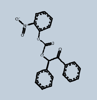 O=C(Oc1ccccc1[N+](=O)[O-])OC(C(=O)c1ccccc1)c1ccccc1